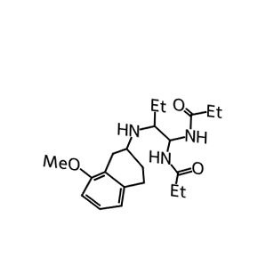 CCC(=O)NC(NC(=O)CC)C(CC)NC1CCc2cccc(OC)c2C1